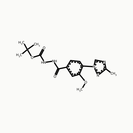 COc1cc(C(=O)NNC(=O)OC(C)(C)C)ccc1-n1cnc(C)n1